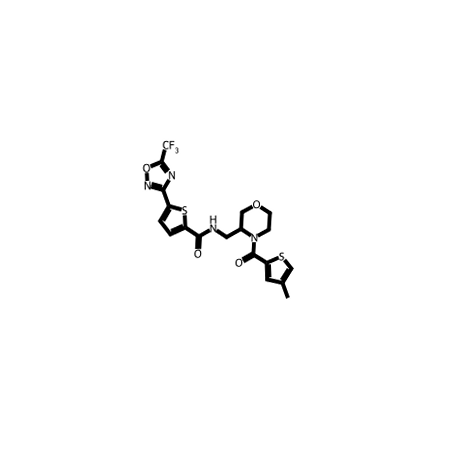 Cc1csc(C(=O)N2CCOCC2CNC(=O)c2ccc(-c3noc(C(F)(F)F)n3)s2)c1